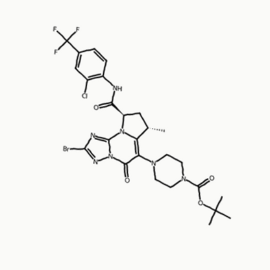 C[C@H]1C[C@H](C(=O)Nc2ccc(C(F)(F)F)cc2Cl)n2c1c(N1CCN(C(=O)OC(C)(C)C)CC1)c(=O)n1nc(Br)nc21